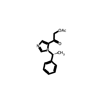 CC(=O)OCC(=O)c1cncn1[C@H](C)c1ccccc1